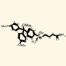 COc1ccc(C(OC)(c2ccc(OC)cc2)c2ccc([Si](C)(C)OCCCC(N)=O)cc2)cc1